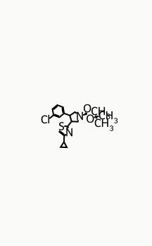 CC(C)(C)OC(=O)N1CC(c2cccc(Cl)c2)C(c2nc(C3CC3)cs2)C1